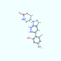 Cc1cc(C(F)(F)F)cc(O)c1-c1cc2c(nn1)N([C@H]1CCC(=O)NC1)CC2